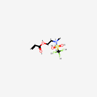 C=CC(=O)OCCN(C)S(=O)(=O)C(F)(F)F